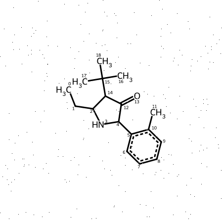 CCC1NC(c2ccccc2C)C(=O)C1C(C)(C)C